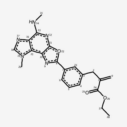 C=C(Cc1cccc(-c2nc3c(nc(NC)c4ncn(C)c43)o2)c1)C(=O)OCC